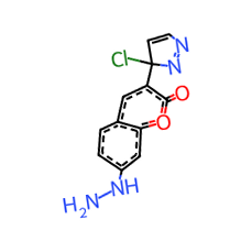 NNc1ccc2cc(C3(Cl)C=CN=N3)c(=O)oc2c1